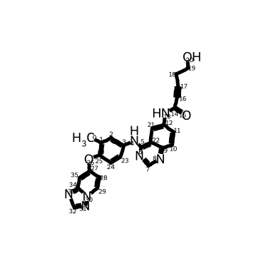 Cc1cc(Nc2ncnc3ccc(NC(=O)C#CCCO)cc23)ccc1Oc1ccn2ncnc2c1